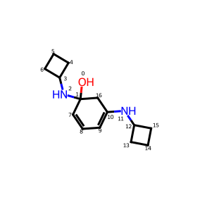 OC1(NC2CCC2)C=CC=C(NC2CCC2)C1